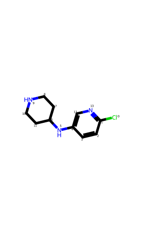 Clc1ccc(NC2CCNCC2)cn1